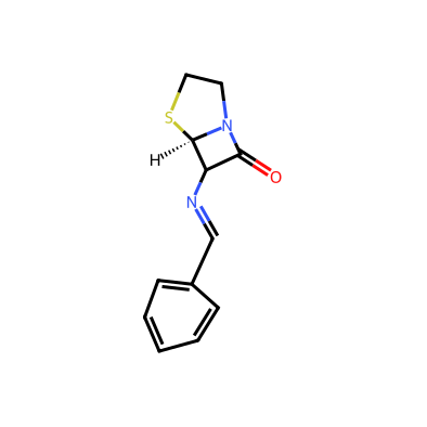 O=C1C(/N=C/c2ccccc2)[C@H]2SCCN12